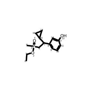 CCOP(C)(=O)CC(c1cccc(O)c1)C1CC1